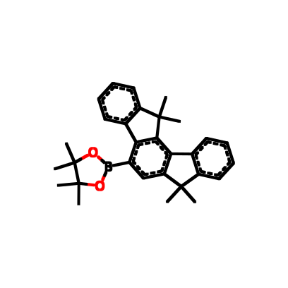 CC1(C)c2ccccc2-c2c1cc(B1OC(C)(C)C(C)(C)O1)c1c2C(C)(C)c2ccccc2-1